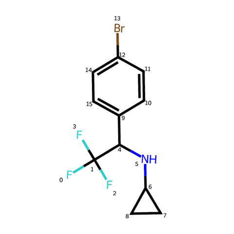 FC(F)(F)C(NC1CC1)c1ccc(Br)cc1